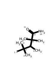 CC(C(C)(C)I)C(C)(C)C(N)=O